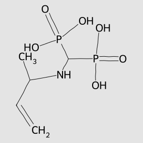 C=CC(C)NC(P(=O)(O)O)P(=O)(O)O